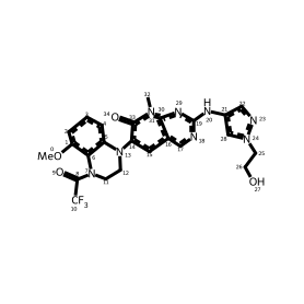 COc1cccc2c1N(C(=O)C(F)(F)F)CCN2c1cc2cnc(Nc3cnn(CCO)c3)nc2n(C)c1=O